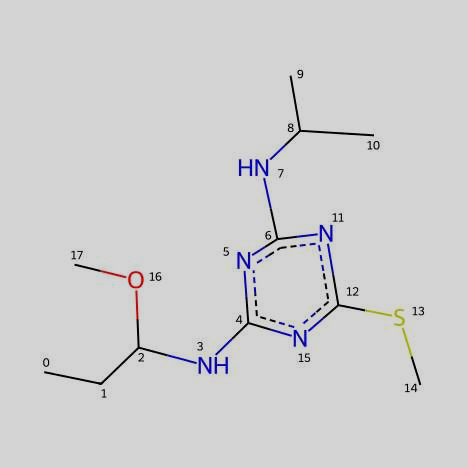 CCC(Nc1nc(NC(C)C)nc(SC)n1)OC